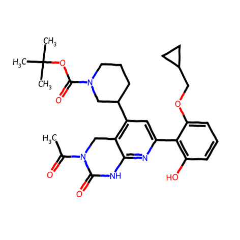 CC(=O)N1Cc2c(C3CCCN(C(=O)OC(C)(C)C)C3)cc(-c3c(O)cccc3OCC3CC3)nc2NC1=O